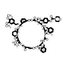 COc1ccc(CC[C@H]2OC(=O)[C@@H]3CCCCN3C(=O)C(=O)C(C)(C)COC(=O)/C=C/CCN(C)C(=O)[C@@H](Cc3ccccc3)NC(=O)CN(C)C(=O)[C@@H](Cc3ccccc3)NC(=O)[C@H](Cc3ccc(OC(=O)N4CCOCC4)cc3)N(C)C(=O)COc3cccc2c3F)cc1OC